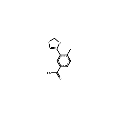 Cc1ccc(C(=O)O)cc1C1=COCO1